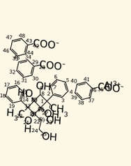 CC1(c2ccccc2)C(O)[C@@]2(O)C(C)(c3ccccc3)[C@@](O)([C@H](O)CO)[C@@]12O.O=C([O-])c1ccccc1.O=C([O-])c1ccccc1.O=C([O-])c1ccccc1.[Al+3]